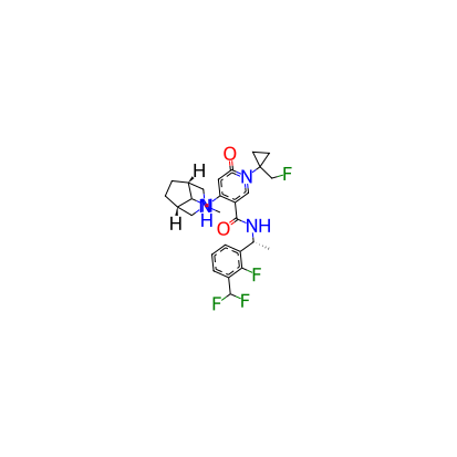 C[C@@H](NC(=O)c1cn(C2(CF)CC2)c(=O)cc1NC1[C@@H]2CC[C@H]1CN(C)C2)c1cccc(C(F)F)c1F